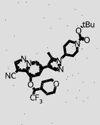 Cc1c(-c2cc(OC(C3CCOCC3)C(F)(F)F)c3c(C#N)cnn3c2)cnn1C1CCN(C(=O)OC(C)(C)C)CC1